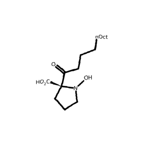 CCCCCCCCCCCC(=O)[C@@]1(C(=O)O)CCCN1O